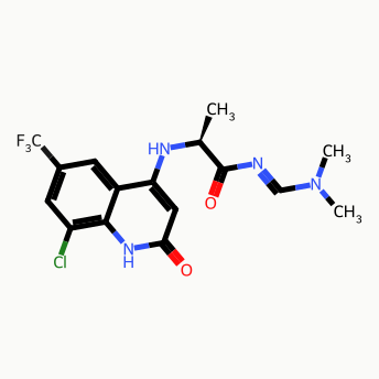 C[C@H](Nc1cc(=O)[nH]c2c(Cl)cc(C(F)(F)F)cc12)C(=O)/N=C/N(C)C